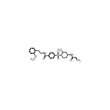 C=CC(=O)NC1CCN(S(=O)(=O)c2ccc(C(=O)NCCc3ccccc3OC)cc2)C(C)C1